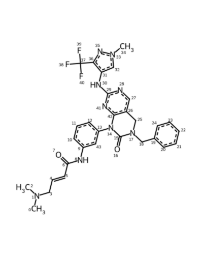 CN(C)C/C=C/C(=O)Nc1cccc(N2C(=O)N(Cc3ccccc3)Cc3cnc(Nc4cn(C)nc4C(F)(F)F)nc32)c1